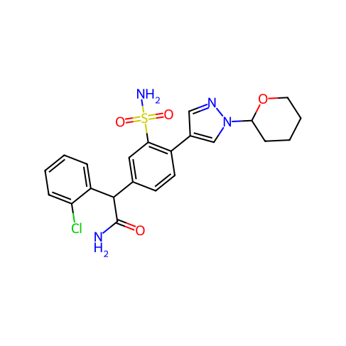 NC(=O)C(c1ccc(-c2cnn(C3CCCCO3)c2)c(S(N)(=O)=O)c1)c1ccccc1Cl